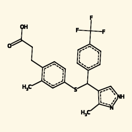 Cc1cc(SC(c2ccc(C(F)(F)F)cc2)c2c[nH]nc2C)ccc1CCC(=O)O